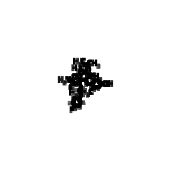 Cc1cc(O)cc(C)c1CC(NC(=O)OC(C)(C)C)C(=O)N(CCCc1ccc(F)cc1)[C@H](C)C(N)=O